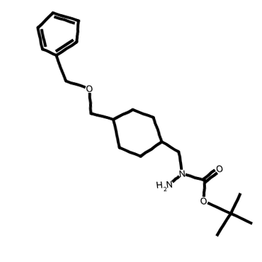 CC(C)(C)OC(=O)N(N)CC1CCC(COCc2ccccc2)CC1